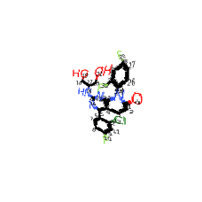 O=c1ccc2c(-c3ccc(F)cc3Cl)nc(NC(CO)CO)nc2n1-c1ccc(F)cc1F